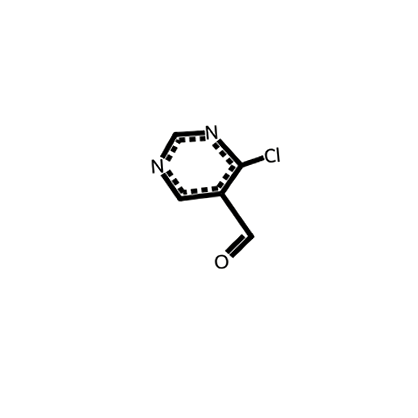 O=Cc1cncnc1Cl